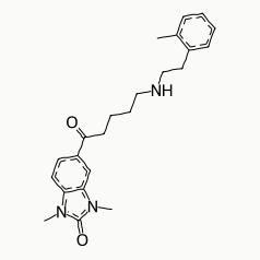 Cc1ccccc1CCNCCCCC(=O)c1ccc2c(c1)n(C)c(=O)n2C